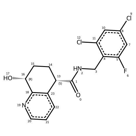 O=C(NCc1c(F)cc(Cl)cc1Cl)[C@H]1CC[C@@H](O)c2ncccc21